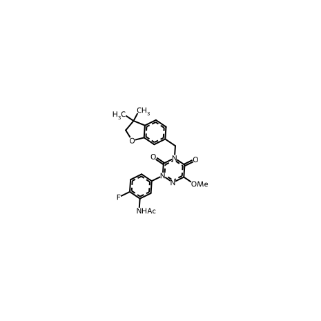 COc1nn(-c2ccc(F)c(NC(C)=O)c2)c(=O)n(Cc2ccc3c(c2)OCC3(C)C)c1=O